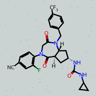 N#Cc1ccc(N2CC(=O)N(Cc3ccc(C(F)(F)F)cc3)[C@@H]3C[C@H](NC(=O)NC4CC4)C[C@H]3C2=O)c(F)c1